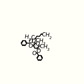 C=CCCC(C)(C)O[C@@H]1O[C@@H](C)[C@H](OC(=O)c2ccccc2)C[C@H]1OC(=O)c1ccccc1